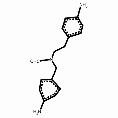 Nc1ccc(CCN(C=O)Cc2ccc(N)cc2)cc1